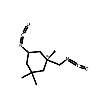 CC1(C)CC(N=C=O)C[C@](C)(CN=C=O)C1